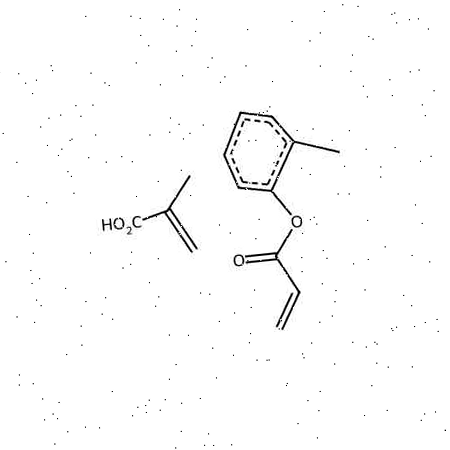 C=C(C)C(=O)O.C=CC(=O)Oc1ccccc1C